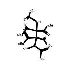 CCCCC(=O)NC(C(=O)CCCC)(C(=O)CCCC)C(C(=O)CCCC)(C(=O)CCCC)C(CCC)C(=O)CCCC